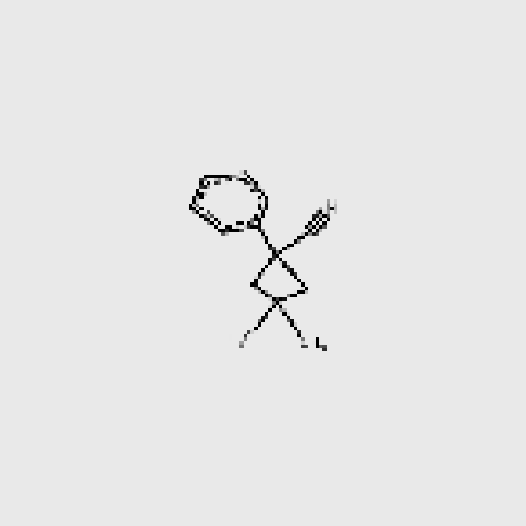 CC1(C)CC(C#N)(c2ccccc2)C1